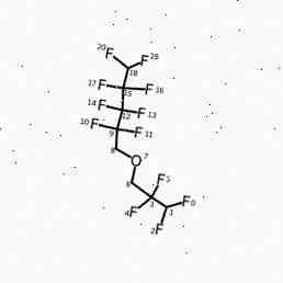 FC(F)C(F)(F)COCC(F)(F)C(F)(F)C(F)(F)C(F)F